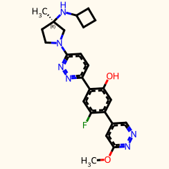 COc1cc(-c2cc(O)c(-c3ccc(N4CC[C@@](C)(NC5CCC5)C4)nn3)cc2F)cnn1